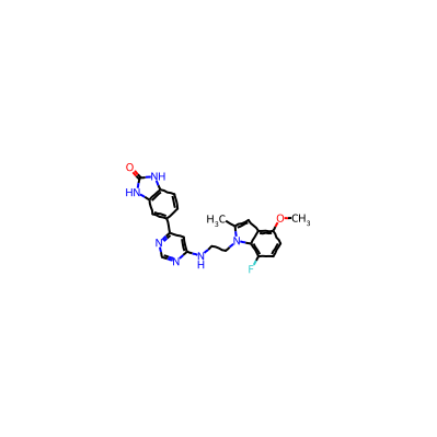 COc1ccc(F)c2c1cc(C)n2CCNc1cc(-c2ccc3[nH]c(=O)[nH]c3c2)ncn1